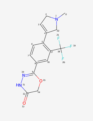 CN1CC=C(c2ccc(C3=NNC(=O)CO3)cc2C(F)(F)F)C1